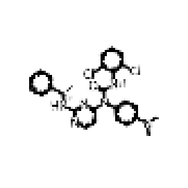 C[C@H](Nc1nccc(N(C(=O)Nc2c(Cl)cccc2Cl)c2ccc(N(C)C)cc2)n1)c1ccccc1